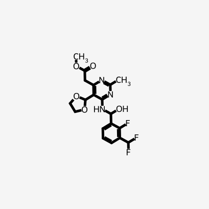 COC(=O)Cc1nc(C)nc(NC(O)c2cccc(C(F)F)c2F)c1C1OCCO1